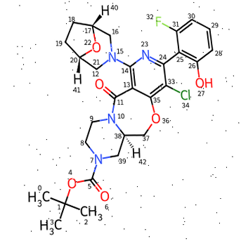 CC(C)(C)OC(=O)N1CCN2C(=O)c3c(N4C[C@H]5CC[C@@H](C4)O5)nc(-c4c(O)cccc4F)c(Cl)c3OC[C@H]2C1